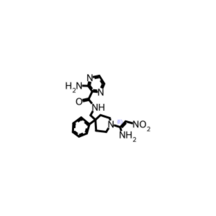 N/C(=C\[N+](=O)[O-])N1CCC(CNC(=O)c2nccnc2N)(c2ccccc2)CC1